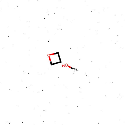 C1COC1.CCO